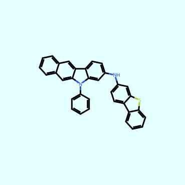 c1ccc(-n2c3cc(Nc4ccc5c(c4)sc4ccccc45)ccc3c3cc4ccccc4cc32)cc1